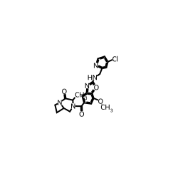 COc1cc(C(=O)N2CC3CCN3C(=O)C2C)cc2nc(NCc3cc(Cl)ccn3)oc12